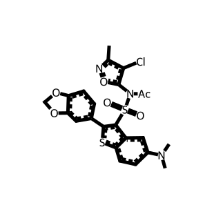 CC(=O)N(c1onc(C)c1Cl)S(=O)(=O)c1c(-c2ccc3c(c2)OCO3)sc2ccc(N(C)C)cc12